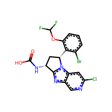 O=C(O)N[C@@H]1C[C@H](c2c(Br)cccc2OC(F)F)n2c1nc1cnc(Cl)cc12